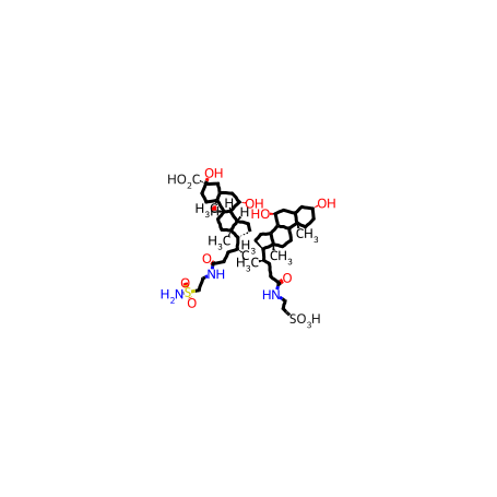 C[C@H](CCC(=O)NCCS(=O)(=O)O)[C@H]1CCC2C3C(CC[C@@]21C)[C@@]1(C)CC[C@@H](O)CC1C[C@@H]3O.C[C@H](CCC(=O)NCCS(N)(=O)=O)[C@H]1CC[C@H]2[C@@H]3[C@@H](O)CC4C[C@@](O)(C(=O)O)CC[C@]4(C)[C@H]3CC[C@]12C